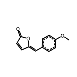 COc1ccc(/C=C2/C=CC(=O)O2)cc1